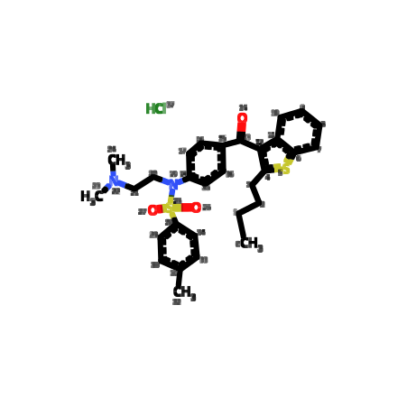 CCCCc1sc2ccccc2c1C(=O)c1ccc(N(CCN(C)C)S(=O)(=O)c2ccc(C)cc2)cc1.Cl